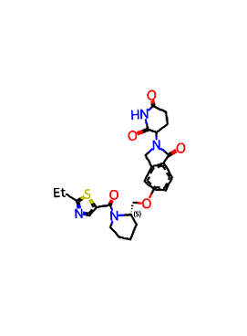 CCc1ncc(C(=O)N2CCCC[C@H]2COc2ccc3c(c2)CN(C2CCC(=O)NC2=O)C3=O)s1